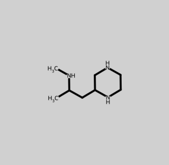 CNC(C)CC1CNCCN1